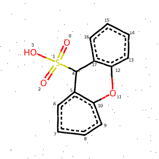 O=S(=O)(O)[C]1c2ccccc2Oc2ccccc21